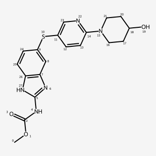 COC(=O)Nc1nc2cc(Sc3ccc(N4CCC(O)CC4)nc3)ccc2[nH]1